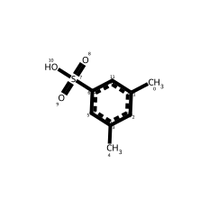 Cc1[c]c(C)cc(S(=O)(=O)O)c1